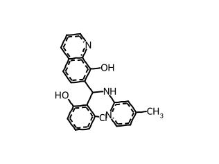 Cc1ccnc(NC(c2ccc3cccnc3c2O)c2c(O)cccc2Cl)c1